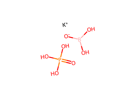 O=P(O)(O)O.[K+].[O-]B(O)O